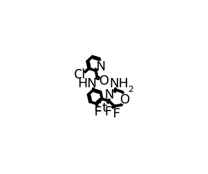 CCC1(c2cc(NC(=O)c3ncccc3Cl)ccc2F)N=C(N)COCC1(F)F